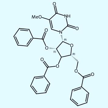 COc1cn([C@@H]2O[C@H](COC(=O)c3ccccc3)C(OC(=O)c3ccccc3)[C@@H]2OC(=O)c2ccccc2)c(=O)[nH]c1=O